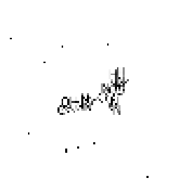 CCNC(=O)Nc1nc2cc(-c3cnc(N4CCC(C)(C(=O)O)CC4)nc3)cc(-c3ccncn3)c2s1